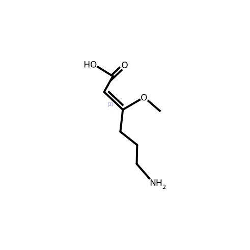 CO/C(=C\C(=O)O)CCCN